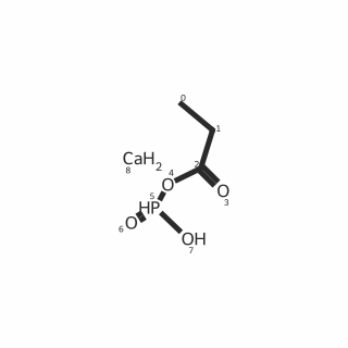 CCC(=O)O[PH](=O)O.[CaH2]